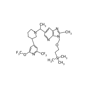 Cc1nc2cc(C(C)N3CCCC(c4cc(OC(F)(F)F)nc(C(F)(F)F)c4)C3)cnc2n1COCC[Si](C)(C)C